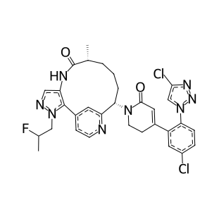 CC(F)Cn1ncc2c1-c1ccnc(c1)[C@@H](N1CCC(c3cc(Cl)ccc3-n3cc(Cl)nn3)=CC1=O)CCC[C@@H](C)C(=O)N2